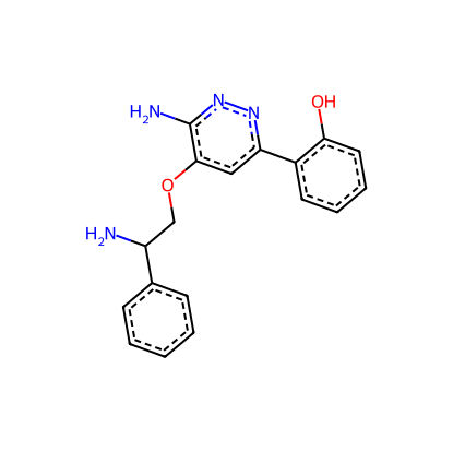 Nc1nnc(-c2ccccc2O)cc1OCC(N)c1ccccc1